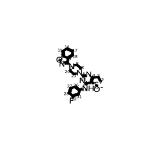 [O-][S+]1CCc2nc(N3CCN(c4noc5ccccc45)CC3)nc(Nc3cccc(F)c3)c21